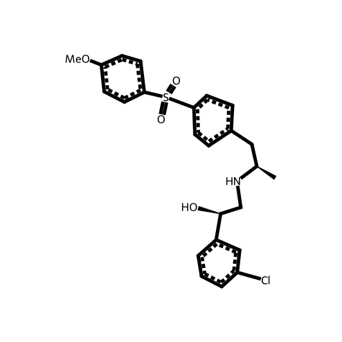 COc1ccc(S(=O)(=O)c2ccc(C[C@@H](C)NC[C@H](O)c3cccc(Cl)c3)cc2)cc1